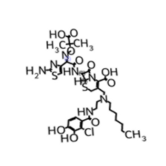 CCCCCCCN(CCNC(=O)c1ccc(O)c(O)c1Cl)CC1=C(C(=O)O)N2C(=O)[C@@H](NC(=O)/C(=N\OC(C)(C)C(=O)O)c3csc(N)n3)[C@H]2SC1